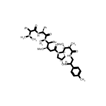 CCC(C)C([C@@H](CC(=O)N1C[C@@H](O)C[C@H]1[C@H](OC)[C@@H](C)C(=O)NCC(N)c1ccc(C)cc1)OC)N(C)C(=O)[C@@H](NC(=O)C(C(C)C)N(C)C)C(C)C